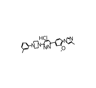 COc1cc(-c2ccc(N3CCN(c4cccc(C)c4)CC3)nn2)ccc1-n1cnc(C)c1.Cl